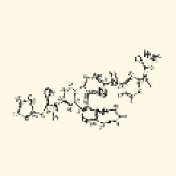 CNCC(=O)N(C)c1cccc(Nc2nccc(-c3c(-c4cccc(NC(=O)Cc5cccs5)c4)nc4ccccn34)n2)c1